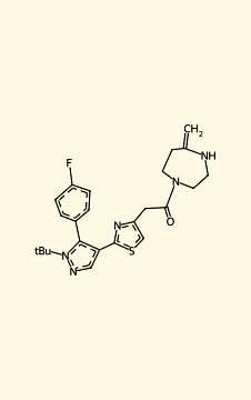 C=C1CCN(C(=O)Cc2csc(-c3cnn(C(C)(C)C)c3-c3ccc(F)cc3)n2)CCN1